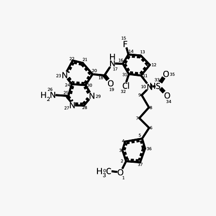 COc1ccc(CCCCN(c2ccc(F)c(NC(=O)c3ccnc4c(N)ncnc34)c2Cl)[SH](=O)=O)cc1